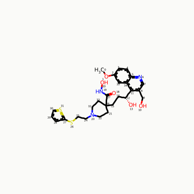 COc1ccc2ncc(CO)c([C@H](O)CCC3(C(=O)NO)CCN(CCSc4cccs4)CC3)c2c1